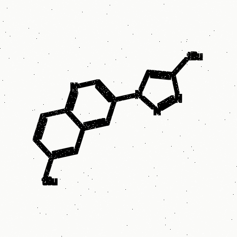 CC(C)(C)c1ccc2ncc(-n3cc(C(C)(C)C)nn3)cc2c1